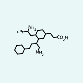 CCCC(N)CC1CCC(CCC(=O)O)CC1C(CN)CCC1CCCCC1